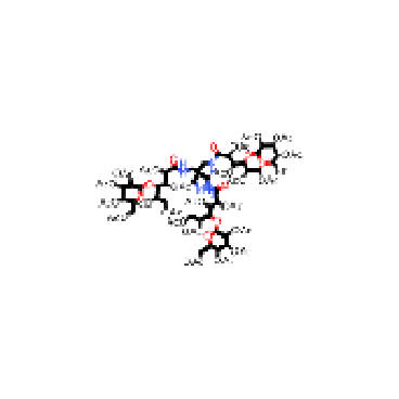 CCC1OC(OC(C(COC(C)=O)OC(C)=O)C(OC(C)=O)C(OC(C)=O)C(=O)NCC(CN)(CNC(=O)C(OC(C)=O)C(OC(C)=O)C(OC2OC(COC(C)=O)C(OC(C)=O)C(OC(C)=O)C2OC(C)=O)C(COC(C)=O)OC(C)=O)CNC(=O)C(OC(C)=O)C(OC(C)=O)C(OC2OC(COC(C)=O)C(OC(C)=O)C(OC(C)=O)C2OC(C)=O)C(COC(C)=O)OC(C)=O)C(OC(C)=O)C(OC(C)=O)C1OC(C)=O